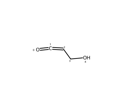 O=C=CCO